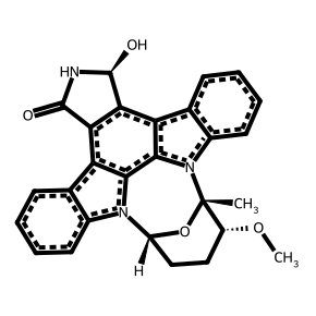 CO[C@@H]1CC[C@H]2O[C@]1(C)n1c3ccccc3c3c4c(c5c6ccccc6n2c5c31)C(=O)N[C@H]4O